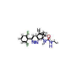 CCNC(=O)N(C)[C@@]12CC[C@@H](c3cc(-c4c(F)cccc4F)nnc31)C2(C)C